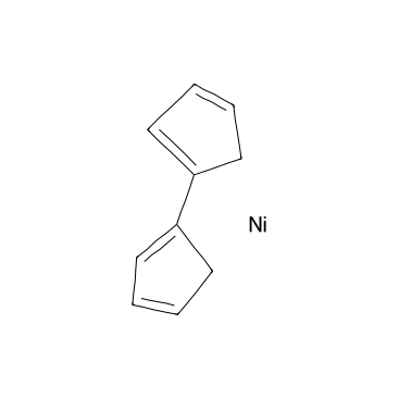 C1=CCC(C2=CC=CC2)=C1.[Ni]